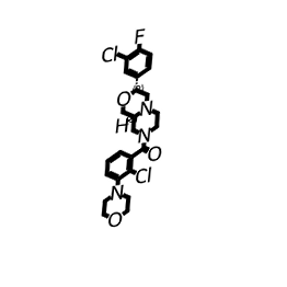 O=C(c1cccc(N2CCOCC2)c1Cl)N1CCN2C[C@@H](c3ccc(F)c(Cl)c3)OC[C@@H]2C1